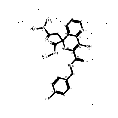 CNC(=O)C1(CC(=O)N(C)C)NC(C(=O)NCc2ccc(F)cc2)=C(O)c2ncccc21